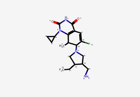 CC1c2c(c(=O)[nH]c(=O)n2C2CC2)C=C(F)C1N1CC(CN)C(CC(F)(F)F)C1